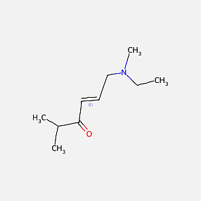 CCN(C)C/C=C/C(=O)C(C)C